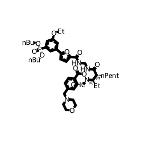 CCCCC[C@@H](C(=O)NCNC(=O)c1ccc(-c2cc(OCC)cc(P(=O)(OCCCC)OCCCC)c2)o1)[C@@H](CC)N(C=O)OC(=O)c1ccc(CN2CCOCC2)cc1